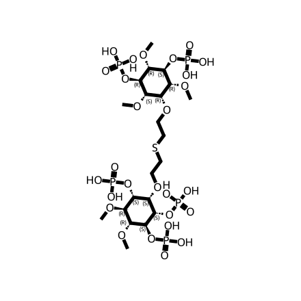 CO[C@@H]1[C@@H](OP(=O)(O)O)[C@H](OC)[C@H](OCCSCCO[C@H]2[C@@H](OP(=O)(O)O)[C@H](OC)[C@@H](OC)[C@H](OP(=O)(O)O)[C@H]2OP(=O)(O)O)[C@H](OC)[C@H]1OP(=O)(O)O